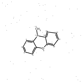 CP1c2ccccc2Oc2ccccc21